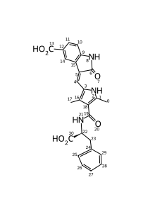 Cc1[nH]c(C=C2C(=O)Nc3ccc(C(=O)O)cc32)c(C)c1C(=O)N[C@@H](Cc1ccccc1)C(=O)O